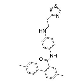 Cc1ccc(-c2ccc(C)cc2C(=O)Nc2ccc(NCCc3cscn3)cc2)cc1